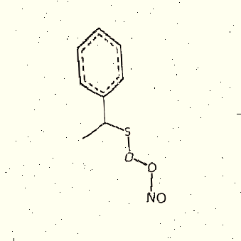 CC(SOON=O)c1ccccc1